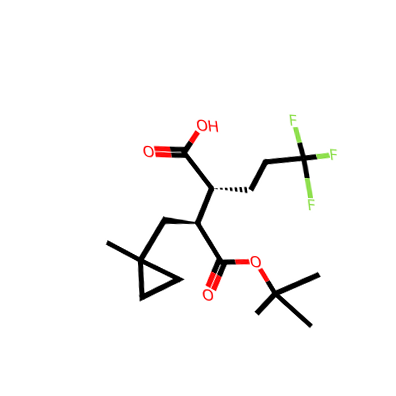 CC1(C[C@H](C(=O)OC(C)(C)C)[C@@H](CCC(F)(F)F)C(=O)O)CC1